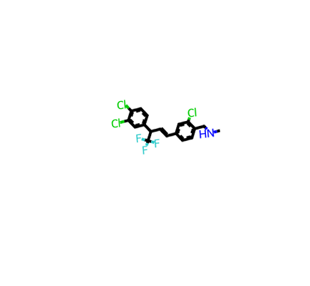 CNCc1ccc(/C=C/C(c2ccc(Cl)c(Cl)c2)C(F)(F)F)cc1Cl